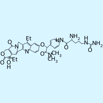 CCc1c2c(nc3ccc(OC(C(=O)N(C)C)c4ccc(NC(=O)C(N)CCCNC(N)=O)cc4)cc13)-c1cc3c(c(=O)n1C2)COC(=O)[C@]3(O)CC